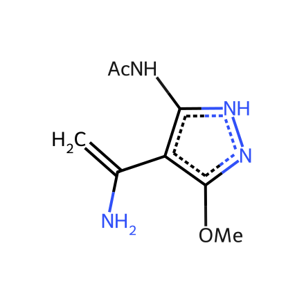 C=C(N)c1c(OC)n[nH]c1NC(C)=O